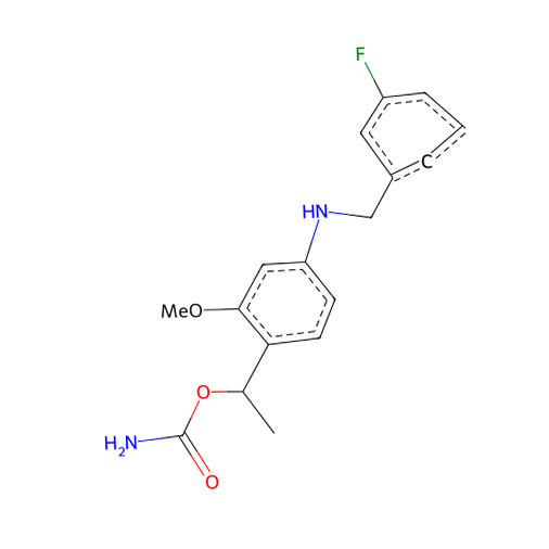 COc1cc(NCc2cccc(F)c2)ccc1C(C)OC(N)=O